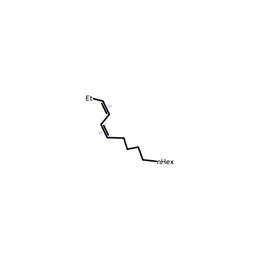 CC/C=C\C=C/CCCCCCCCCC